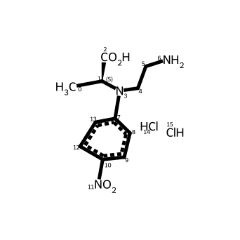 C[C@@H](C(=O)O)N(CCN)c1ccc([N+](=O)[O-])cc1.Cl.Cl